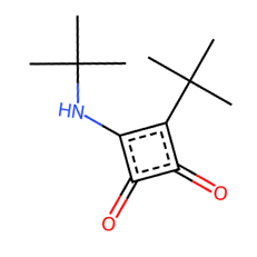 CC(C)(C)Nc1c(C(C)(C)C)c(=O)c1=O